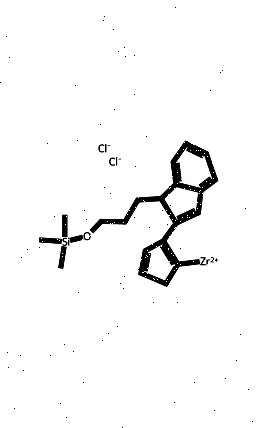 C[Si](C)(C)OCCCC1C(C2=[C]([Zr+2])CC=C2)=Cc2ccccc21.[Cl-].[Cl-]